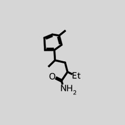 CCC(CC(C)c1cccc(C)c1)C(N)=O